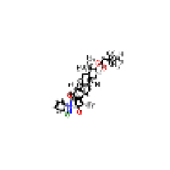 CC(C)C1=C2C3CCC4[C@@]5(C)CC[C@H](OC(=O)CC(C)(C)C(=O)O)C(C)(C)C5CC[C@@]4(C)[C@]3(C)CC[C@@]2(C(=O)Nc2ccccc2Cl)CC1=O